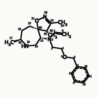 C=CN(CCOCc1ccccc1)[C@@H]1CN[C@@H](C)CC[C@@]12ON=C(C)[C@@H]2C